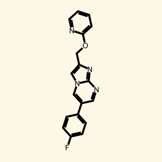 Fc1ccc(-c2cnc3nc(COc4ccccn4)cn3c2)cc1